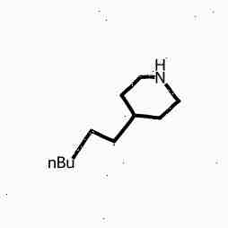 CCCCC[CH]C1CCNCC1